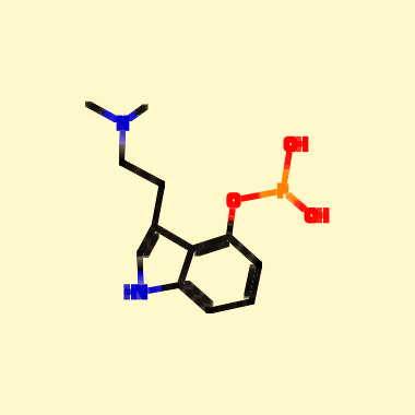 CN(C)CCc1c[nH]c2cccc(OP(O)O)c12